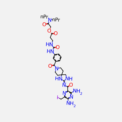 CCCN(CCC)C(=O)COC(=O)CCNC(=O)Nc1cccc(C(=O)N2CCC3(CC2)CN/C(=N\C(=O)c2nc(CI)c(N)nc2N)N3)c1